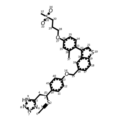 CC#S[C@@H](Cc1nnn[nH]1)c1ccc(OCc2ccc3scc(-c4ccc(OCCCS(C)(=O)=O)cc4C)c3c2)cc1